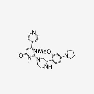 COc1cc(N2CCCC2)ccc1C1CN(c2nc(-c3ccncc3)cc(=O)n2C)CCN1